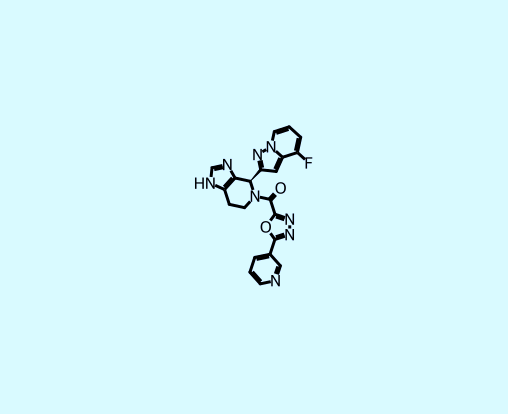 O=C(c1nnc(-c2cccnc2)o1)N1CCc2[nH]cnc2[C@H]1c1cc2c(F)cccn2n1